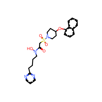 O=C(CS(=O)(=O)N1CCC(Oc2cccc3ccccc23)CC1)N(O)CCCCc1ncccn1